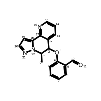 CC1C(Oc2ccccc2C=O)c2cccnc2-c2ccnn21